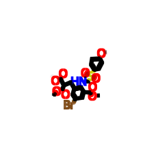 COC(=O)c1cc(Br)cc(CC(C(=O)OC)C(=O)OC)c1NCS(=O)(=O)c1ccc(OC)cc1